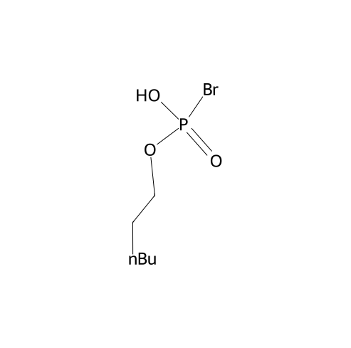 CCCCCCOP(=O)(O)Br